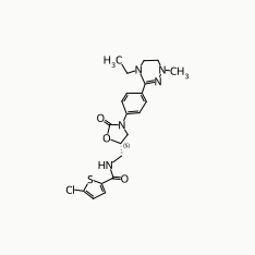 CCN1CCN(C)N=C1c1ccc(N2C[C@H](CNC(=O)c3ccc(Cl)s3)OC2=O)cc1